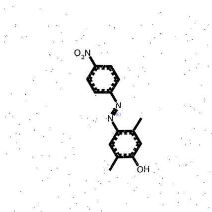 Cc1cc(/N=N/c2ccc([N+](=O)[O-])cc2)c(C)cc1O